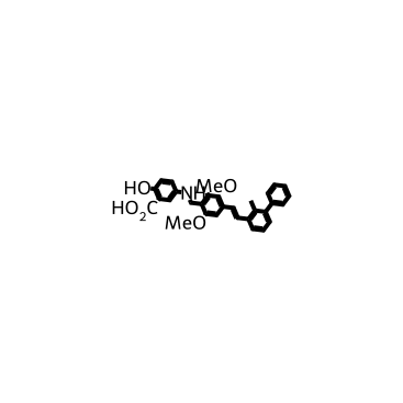 COc1cc(C=Cc2cccc(-c3ccccc3)c2C)cc(OC)c1CNc1ccc(O)c(C(=O)O)c1